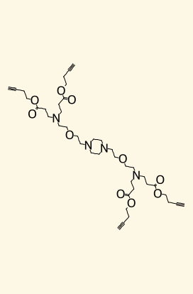 C#CCCOC(=O)CCN(CCOCCN1CCN(CCOCCN(CCC(=O)OCCC#C)CCC(=O)OCCC#C)CC1)CCC(=O)OCCC#C